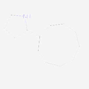 C1CCCCC(C2CCCN2)CCC1